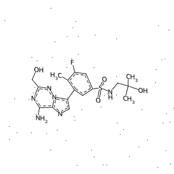 Cc1c(F)cc(S(=O)(=O)NCC(C)(C)O)cc1-c1cnc2c(N)nc(CO)nn12